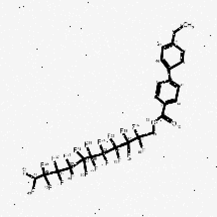 CCc1ccc(-c2ccc(C(=O)OCC(F)(F)C(F)(F)C(F)(F)C(F)(F)C(F)(F)C(F)(F)C(F)(F)C(F)(F)C(F)(F)C(F)F)cc2)cc1